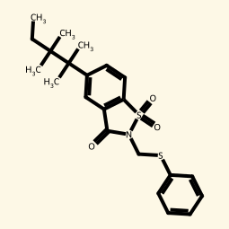 CCC(C)(C)C(C)(C)c1ccc2c(c1)C(=O)N(CSc1ccccc1)S2(=O)=O